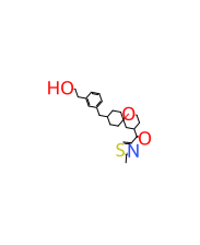 Cc1nc(C(=O)C2CCOC3(CCC(Cc4cccc(CCO)c4)CC3)C2)cs1